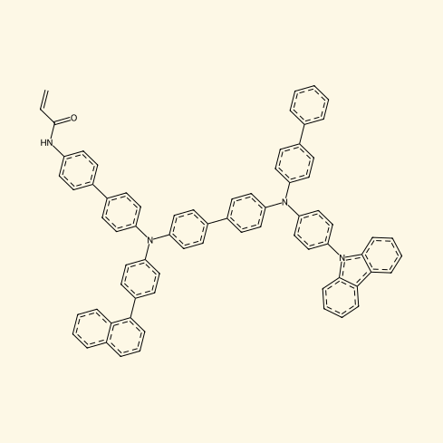 C=CC(=O)Nc1ccc(-c2ccc(N(c3ccc(-c4ccc(N(c5ccc(-c6ccccc6)cc5)c5ccc(-n6c7ccccc7c7ccccc76)cc5)cc4)cc3)c3ccc(-c4cccc5ccccc45)cc3)cc2)cc1